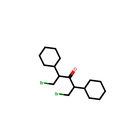 O=C(C(CBr)C1CCCCC1)C(CBr)C1CCCCC1